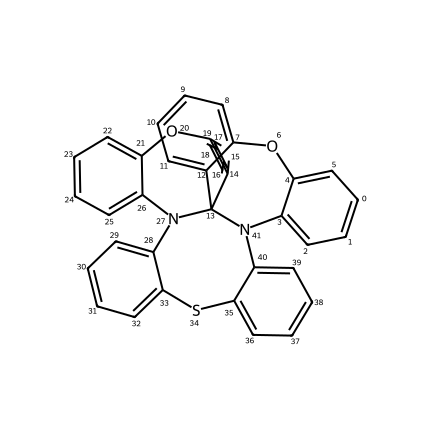 c1ccc2c(c1)Oc1ccccc1C13c4ccccc4Oc4ccccc4N1c1ccccc1Sc1ccccc1N23